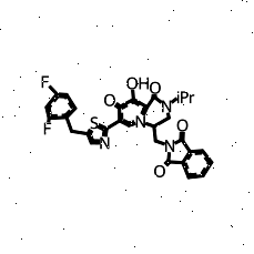 CC(C)N1CC(CN2C(=O)c3ccccc3C2=O)n2cc(-c3ncc(Cc4ccc(F)cc4F)s3)c(=O)c(O)c2C1=O